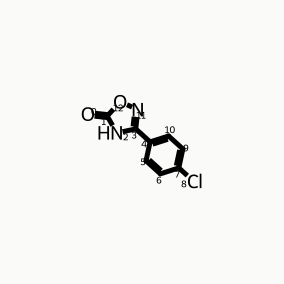 O=c1[nH]c(-c2ccc(Cl)cc2)no1